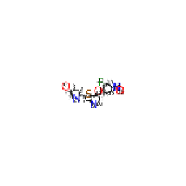 O=Cc1ccc(C2Cc3nccc(Oc4ccc(N=O)cc4F)c3S2)nc1